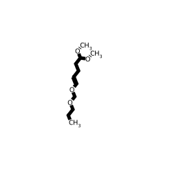 CCCOCOC=CCCC(OC)OC